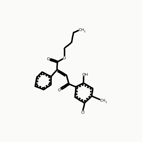 CCCCOC(=O)/C(=C/C(=O)c1cc(Cl)c(C)cc1O)c1ccccc1